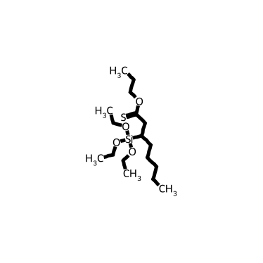 CCCCCC(CC(=S)OCCC)[Si](OCC)(OCC)OCC